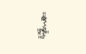 N#CN/C(=N\CCCCc1c[nH]cn1)NCCO